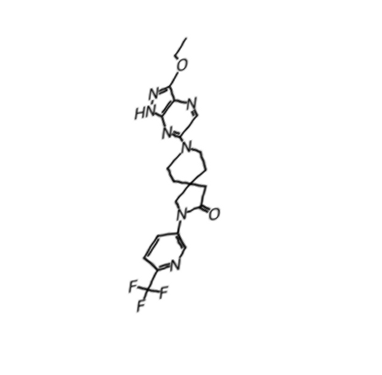 CCOc1n[nH]c2nc(N3CCC4(CC3)CC(=O)N(c3ccc(C(F)(F)F)nc3)C4)cnc12